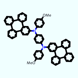 COc1ccc(N(c2ccc(N(c3ccc(OC)cc3)c3ccc4c(c3)-c3ccccc3-c3ccccc3-c3ccccc3-4)cc2)c2ccc3c(c2)-c2ccccc2-c2ccccc2-c2ccccc2-3)cc1